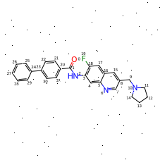 O=C(Nc1cc2ncc(CN3CCCC3)cc2cc1F)c1ccc(-c2ccccc2)cc1